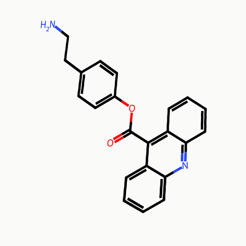 NCCc1ccc(OC(=O)c2c3ccccc3nc3ccccc23)cc1